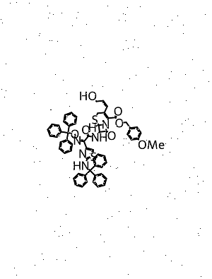 COc1ccc(COC(=O)C2=C(/C=C\CO)CS[C@H]3C(NC(=O)/C(=N\OC(c4ccccc4)(c4ccccc4)c4ccccc4)c4csc(NC(c5ccccc5)(c5ccccc5)c5ccccc5)n4)C(=O)N23)cc1